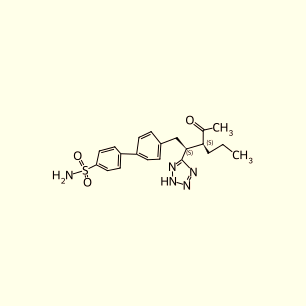 CCC[C@H](C(C)=O)[C@H](Cc1ccc(-c2ccc(S(N)(=O)=O)cc2)cc1)c1nn[nH]n1